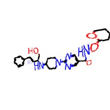 O=C(NOC1CCCCO1)c1cnc(N2CCC(NC(/C=C/c3ccccc3)CO)CC2)nc1